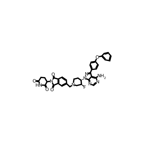 Nc1ncnc2c1c(-c1ccc(Oc3ccccc3)cc1)nn2[C@H]1CCN(Cc2ccc3c(c2)C(=O)N(C2CCC(=O)NC2=O)C3=O)C[C@@H]1F